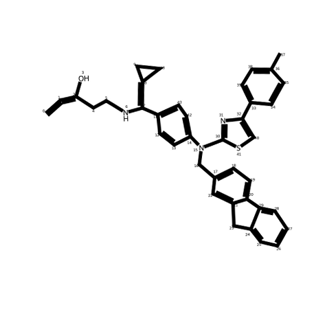 C=C=C(O)CCNC(=C1CC1)c1ccc(N(Cc2ccc3c(c2)Cc2ccccc2-3)c2nc(-c3ccc(C)cc3)cs2)cc1